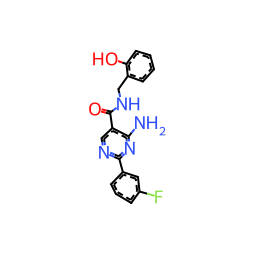 Nc1nc(-c2cccc(F)c2)ncc1C(=O)NCc1ccccc1O